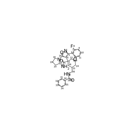 NC(=O)C1(c2c(-c3c(F)cccc3Cl)noc2N2CCCC2)CCCC(CNC(=O)c2ccccc2)C1